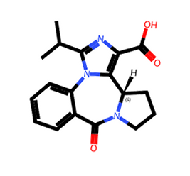 CC(C)c1nc(C(=O)O)c2n1-c1ccccc1C(=O)N1CCC[C@@H]21